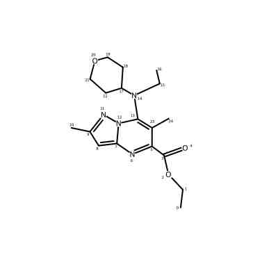 CCOC(=O)c1nc2cc(C)nn2c(N(CC)C2CCOCC2)c1C